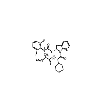 CN[C@@H](C)C(=O)N[C@H](C(=O)N1c2ncccc2C[C@H]1OC(=O)Nc1c(F)cccc1F)C1CCOCC1